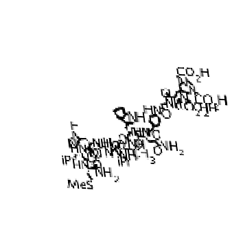 CSCC[C@H](NC(=O)[C@H](CC(C)C)NC(=O)[C@H](Cc1cnc[nH]1)NC(=O)CNC(=O)[C@@H](NC(=O)[C@H](C)NC(=O)[C@H](Cc1c[nH]c2ccccc12)NC(=O)[C@H](CCC(N)=O)NC(=O)c1ccc(NC(=O)CNC(=O)CCC2(N(CC(=O)O)CC(=O)O)CN(CC(=O)O)CCN(CC(=O)O)C2)cc1)C(C)C)C(N)=O